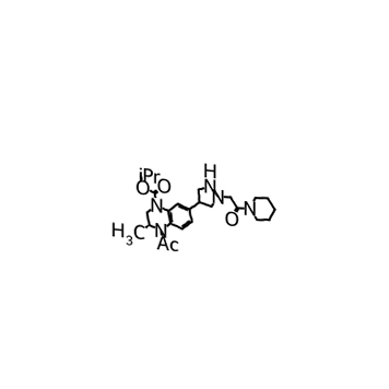 CC(=O)N1c2ccc(C3CNN(CC(=O)N4CCCCC4)C3)cc2N(C(=O)OC(C)C)C[C@@H]1C